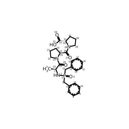 C[C@H](NP(=O)(Cc1ccccc1)Cc1ccccc1)C(=O)N1CCC[C@H]1C(=O)N1CCC[C@H]1C(=O)O